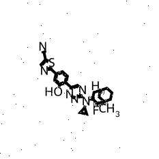 C[C@@]12CCC[C@H](C[C@H](N(c3ncc(-c4ccc(-c5ncc(C#N)s5)cc4O)nn3)C3CC3)[C@@H]1F)C2